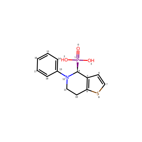 O=P(O)(O)[C@H]1c2ccsc2CCN1c1ccccc1